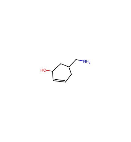 NCC1CC=CC(O)C1